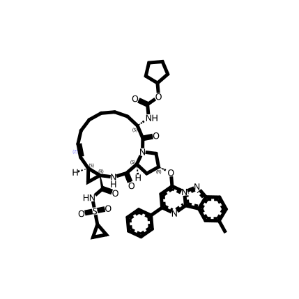 Cc1ccc2nn3c(O[C@@H]4C[C@H]5C(=O)N[C@]6(C(=O)NS(=O)(=O)C7CC7)C[C@H]6/C=C\CCCCC[C@H](NC(=O)OC6CCCC6)C(=O)N5C4)cc(-c4ccccc4)nc3c2c1